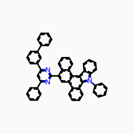 c1ccc(-c2cccc(-c3cc(-c4ccccc4)nc(-c4cc5c6ccccc6c6c(c7ccccc7n6-c6ccccc6)c5c5ccccc45)n3)c2)cc1